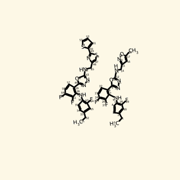 CCc1ccc(Nc2c(-c3nnc(NCc4cc(C)on4)o3)ccc(F)c2F)c(F)c1.CCc1ccc(Nc2c(-c3nnc(NCc4csc(-c5cccs5)n4)o3)ccc(F)c2F)c(F)c1